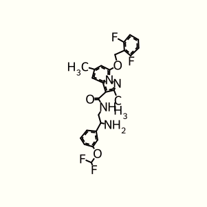 Cc1cc(OCc2c(F)cccc2F)n2nc(C)c(C(=O)NCC(N)c3cccc(OC(F)F)c3)c2c1